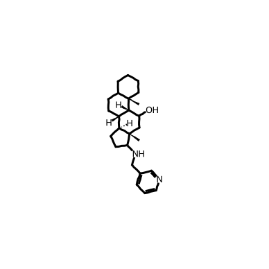 C[C@]12CCCCC1CC[C@@H]1[C@H]2C(O)C[C@]2(C)C(NCc3cccnc3)CC[C@@H]12